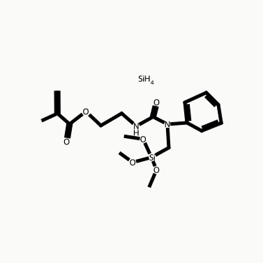 C=C(C)C(=O)OCCNC(=O)N(C[Si](OC)(OC)OC)c1ccccc1.[SiH4]